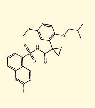 COc1cc(C2(C(=O)NS(=O)(=O)c3cccc4nc(C)ccc34)CC2)c(OCC(C)C)cn1